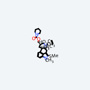 CSc1c2c3c(cccc3n1C)C1C[C@@H](COC(=O)N3CCCCC3)CN(C)[C@@H]1C2.O=C(O)/C=C\C(=O)O